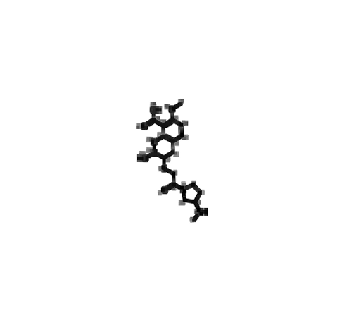 CNC1CCN(C(=O)CSC2Cc3ccc(OC)c(C(=O)O)c3OB2O)C1